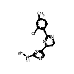 CCCNc1ncc(-c2ccnc(-c3ccc(C)cc3Cl)n2)s1